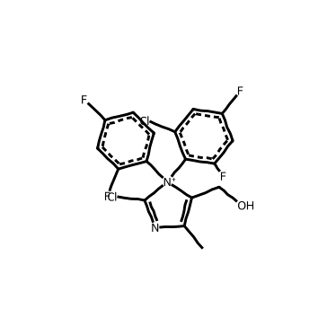 CC1=C(CO)[N+](c2ccc(F)cc2F)(c2c(F)cc(F)cc2Cl)C(Cl)=N1